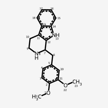 COc1ccc(CC2NCCc3c2[nH]c2ccccc32)cc1OC